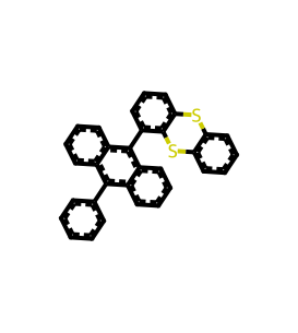 c1ccc(-c2c3ccccc3c(-c3cccc4c3Sc3ccccc3S4)c3ccccc23)cc1